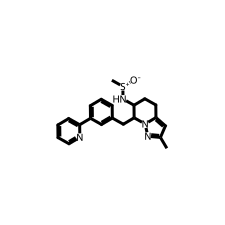 Cc1cc2n(n1)C(Cc1cccc(-c3ccccn3)c1)C(N[S+](C)[O-])CC2